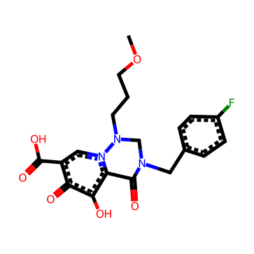 COCCCN1CN(Cc2ccc(F)cc2)C(=O)c2c(O)c(=O)c(C(=O)O)cn21